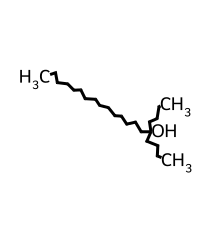 CCCCCCCCCCCCCCCC(O)(CCCC)CCCC